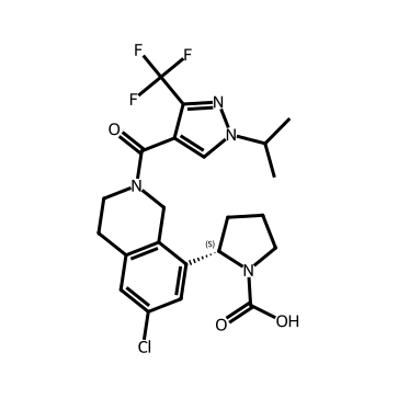 CC(C)n1cc(C(=O)N2CCc3cc(Cl)cc([C@@H]4CCCN4C(=O)O)c3C2)c(C(F)(F)F)n1